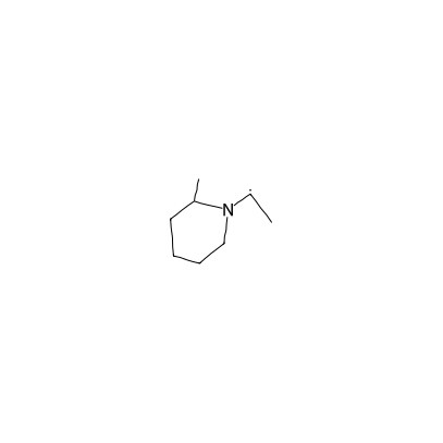 C[CH]N1CCCCC1C